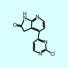 O=C1Cc2c(-c3ccnc(Cl)n3)ccnc2N1